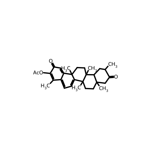 CC(=O)OC1=C(C)C2=CC=C3C(C)(CCC4(C)C5CC(C)C(=O)CC5(C)CCC34C)C2=CC1=O